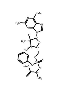 CNc1nc(N)nc2c1ncn2[C@@H]1O[C@H](CO[P@@](=S)(N[C@@H](C)C(=O)OC)Oc2ccccc2)[C@@H](O)[C@@]1(C)F